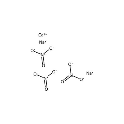 O=[N+]([O-])[O-].O=[N+]([O-])[O-].O=[Si]([O-])[O-].[Ca+2].[Na+].[Na+]